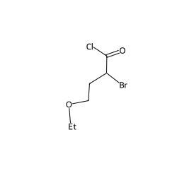 CCOCCC(Br)C(=O)Cl